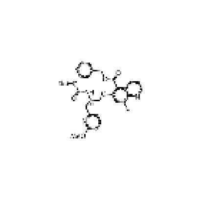 COc1cccc(C[C@H](COc2cc(F)c3ncccc3c2C(=O)OCc2ccccc2)NC(=O)OC(C)(C)C)n1